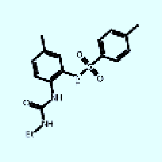 CCNC(=O)Nc1ccc(C)cc1NS(=O)(=O)c1ccc(C)cc1